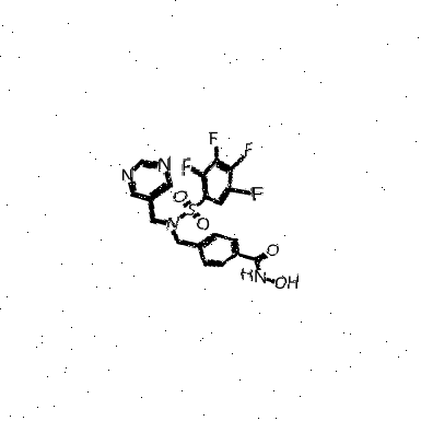 O=C(NO)c1ccc(CN(Cc2cncnc2)S(=O)(=O)c2cc(F)c(F)c(F)c2F)cc1